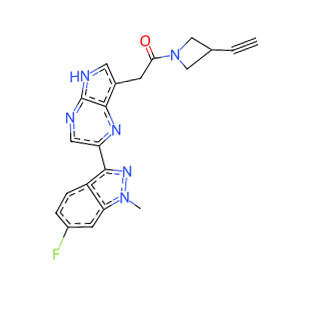 C#CC1CN(C(=O)Cc2c[nH]c3ncc(-c4nn(C)c5cc(F)ccc45)nc23)C1